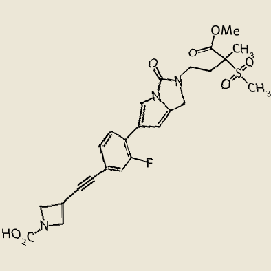 COC(=O)C(C)(CCN1Cc2cc(-c3ccc(C#CC4CN(C(=O)O)C4)cc3F)cn2C1=O)S(C)(=O)=O